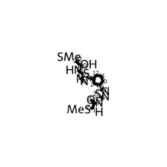 CSCC(=O)Nc1nnc([C@H]2CCC[C@H](c3nnc(NC(O)CSC)s3)C2)s1